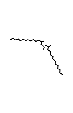 CCCCCCCCCCCCC(C)CN(C)CC(C)CCCCCCCCCCCC